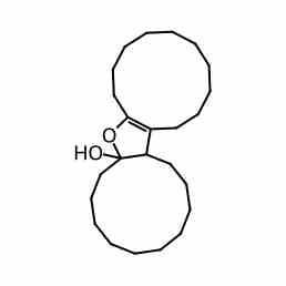 OC12CCCCCCCCCCC1C1=C(CCCCCCCCCC1)O2